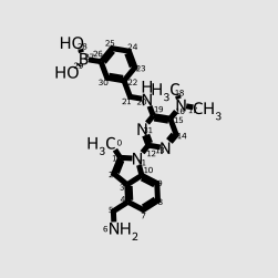 Cc1cc2c(CN)cccc2n1-c1ncc(N(C)C)c(NCc2cccc(B(O)O)c2)n1